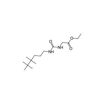 CCOC(=O)CNC(=O)NCCCC(C)(C)C(C)(C)C